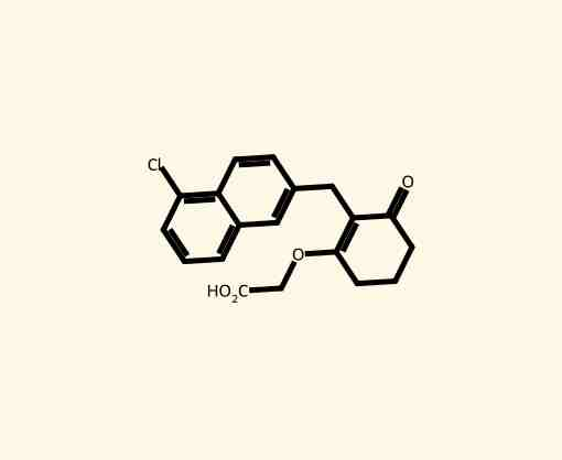 O=C(O)COC1=C(Cc2ccc3c(Cl)cccc3c2)C(=O)CCC1